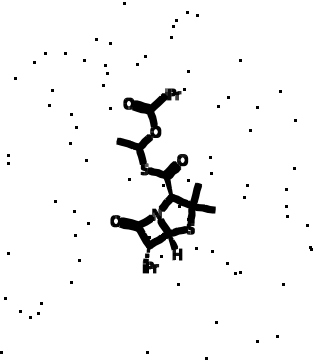 CC(OC(=O)C(C)C)SC(=O)[C@@H]1N2C(=O)[C@@H](C(C)C)[C@H]2SC1(C)C